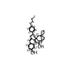 CCCCc1ccc(C=CC(=Cc2ccc(O)cc2)C(=CC(=O)O)C2(C)CCOC(=O)C2)cc1